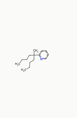 CCCCC(C)(CCCC)c1ccccn1